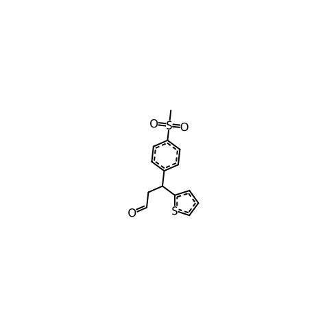 CS(=O)(=O)c1ccc(C(CC=O)c2cccs2)cc1